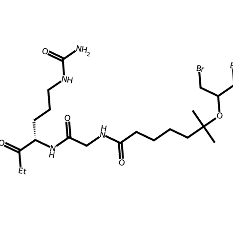 CCC(=O)[C@H](CCCNC(N)=O)NC(=O)CNC(=O)CCCCC(C)(C)OC(CBr)CBr